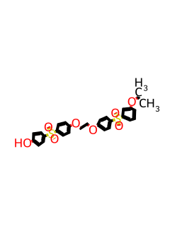 CC(C)Oc1cccc(S(=O)(=O)c2ccc(OCCOc3ccc(S(=O)(=O)c4ccc(O)cc4)cc3)cc2)c1